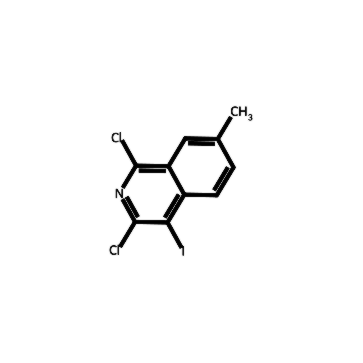 Cc1ccc2c(I)c(Cl)nc(Cl)c2c1